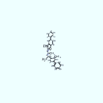 C=C(/C=C(C)/C=C1\Oc2ccc(-c3ccccc3)cc2N1CC)Oc1ccc(-c2ccccc2)cc1C